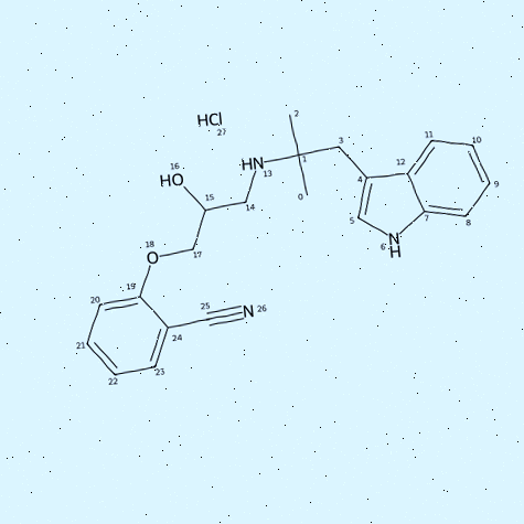 CC(C)(Cc1c[nH]c2ccccc12)NCC(O)COc1ccccc1C#N.Cl